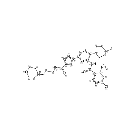 CN1CCN(c2ccc(-n3cc(C(=O)NCCCN4CCOCC4)nn3)cc2NC(=O)c2nnc(Cl)cc2N)CC1